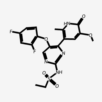 CCS(=O)(=O)Nc1ncc(Oc2ccc(F)cc2F)c(-c2cc(OC)c(=O)[nH]c2C)n1